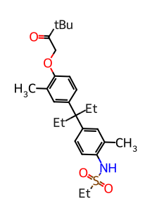 CCC(CC)(c1ccc(NS(=O)(=O)CC)c(C)c1)c1ccc(OCC(=O)C(C)(C)C)c(C)c1